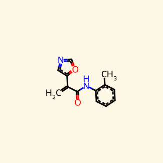 C=C(C(=O)Nc1ccccc1C)c1cnco1